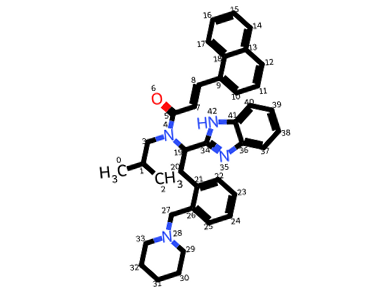 CC(C)CN(C(=O)C=Cc1cccc2ccccc12)C(Cc1ccccc1CN1CCCCC1)c1nc2ccccc2[nH]1